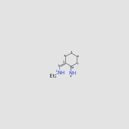 CCN/C=C1/CCCCC1=N